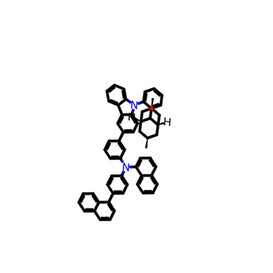 C[C@H]1C[C@@H]2C[C@@H](C)C[C@H](C1)C2c1ccccc1-n1c2ccccc2c2cc(-c3cccc(N(c4ccc(-c5cccc6ccccc56)cc4)c4cccc5ccccc45)c3)ccc21